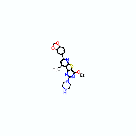 CCOc1nc(N2CCNCC2)nc2c1sc1nc(-c3ccc4c(c3)OCO4)cc(C)c12